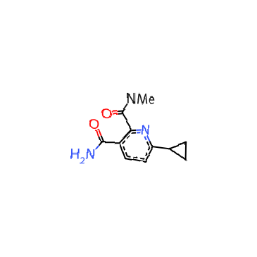 CNC(=O)c1nc(C2CC2)ccc1C(N)=O